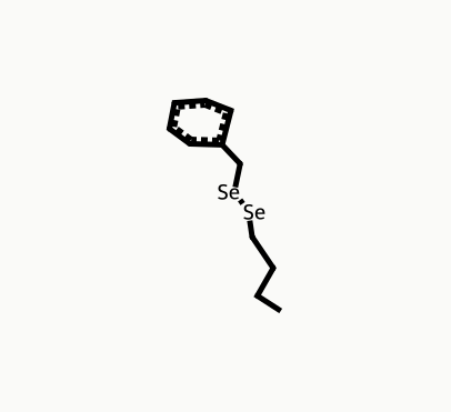 CCCC[Se][Se]Cc1ccccc1